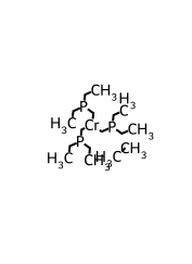 CC.CCP(CC)[CH2][Cr]([CH2]P(CC)CC)[CH2]P(CC)CC